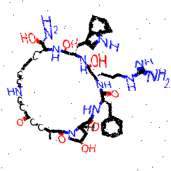 C[C@H]1CCC(=O)CCNCCCC[C@@H]([C@@H](N)O)N[C@@H](O)[C@H](Cc2c[nH]c3ccccc23)N[C@@H](O)[C@H](CCCNC(=N)N)NC(=O)[C@@H](Cc2ccccc2)NC(=O)[C@@H]2C[C@@H](O)CN2C1=O